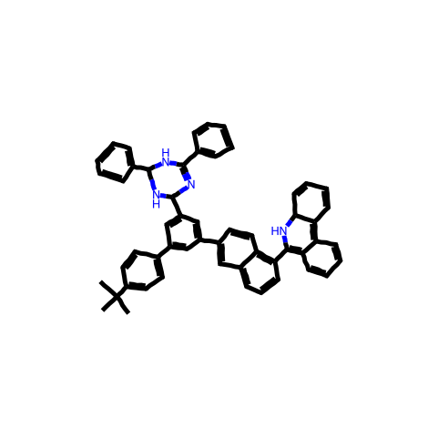 CC(C)(C)c1ccc(-c2cc(-c3ccc4c(C5=c6ccccc6=C6C=CC=CC6N5)cccc4c3)cc(C3N=C(c4ccccc4)NC(c4ccccc4)N3)c2)cc1